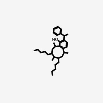 CCCCCC1CC(C)c2ccc(C(C)c3ccccc3)c(O)c2C(C)CC(CCCCC)C1C